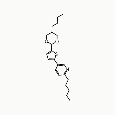 CCCCCc1ccc(-c2ccc(C3OCC(CCCC)CO3)s2)cn1